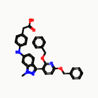 Cn1nc(-c2ccc(OCc3ccccc3)nc2OCc2ccccc2)c2ccc(Nc3ccc(CC(=O)O)cc3)cc21